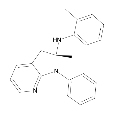 Cc1ccccc1N[C@@]1(C)Cc2cccnc2N1c1ccccc1